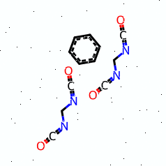 O=C=NCN=C=O.O=C=NCN=C=O.c1ccccc1